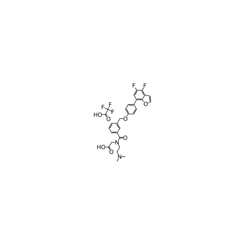 CN(C)CCN(CC(=O)O)C(=O)c1cccc(COc2ccc(-c3cc(F)c(F)c4ccoc34)cc2)c1.O=C(O)C(F)(F)F